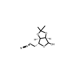 CC1(C)O[C@@H]2[C@@H](CN=[N+]=[N-])OC(O)[C@@H]2O1